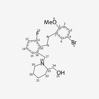 COc1ccc(Br)cc1CCc1c(F)cccc1CN1CCCCC1CO